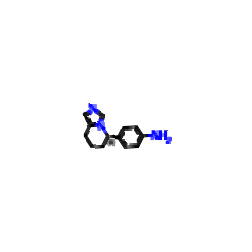 Nc1ccc([C@H]2CCCc3cncn32)cc1